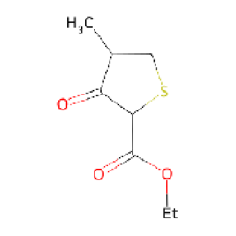 CCOC(=O)C1SCC(C)C1=O